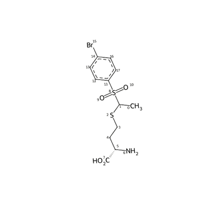 CC(SCC[C@H](N)C(=O)O)S(=O)(=O)c1ccc(Br)cc1